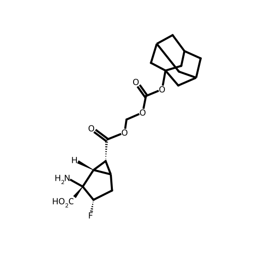 N[C@@]1(C(=O)O)[C@@H](F)CC2[C@@H](C(=O)OCOC(=O)OC34CC5CC(CC(C5)C3)C4)[C@H]21